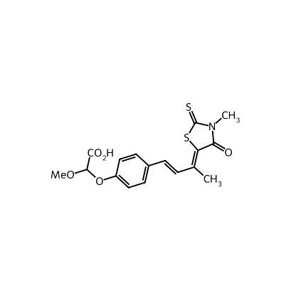 COC(Oc1ccc(C=CC(C)=C2SC(=S)N(C)C2=O)cc1)C(=O)O